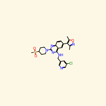 Cc1noc(C)c1-c1ccc2nc(N3CCC(S(C)(=O)=O)CC3)nc(NCc3cncc(Cl)c3)c2c1